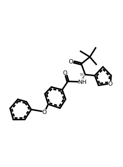 CC(C)(C)C(=O)[C@@H](NC(=O)c1ccc(Oc2ccccc2)cc1)c1ccoc1